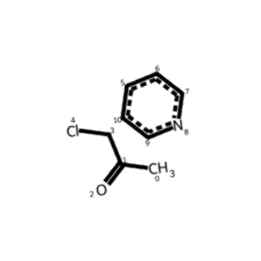 CC(=O)CCl.c1ccncc1